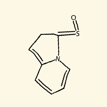 O=S=C1CC=C2C=CC=CN21